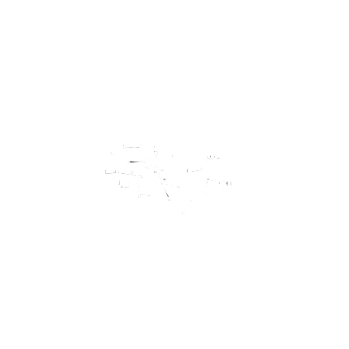 COc1c(O)cc(C)c2c1C[C@@H]1[C@@]3(C)CCCC(C)(C)[C@@H]3CC[C@@]21C